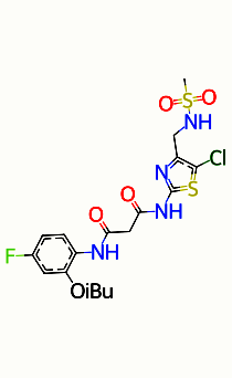 CC(C)COc1cc(F)ccc1NC(=O)CC(=O)Nc1nc(CNS(C)(=O)=O)c(Cl)s1